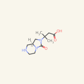 CC(C)(CC(=O)O)N1C[C@@H]2CNCCN2C1=O